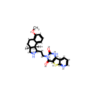 COc1cccc2c1CC[C@H]1CNC(CCn3c(=O)[nH]c4c(sc5ncccc54)c3=O)[C@@H]21